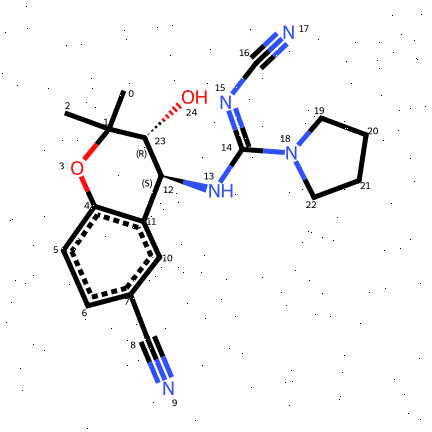 CC1(C)Oc2ccc(C#N)cc2[C@H](NC(=NC#N)N2CCCC2)[C@H]1O